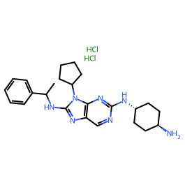 CC(Nc1nc2cnc(N[C@H]3CC[C@H](N)CC3)nc2n1C1CCCC1)c1ccccc1.Cl.Cl